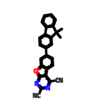 CC1(C)c2ccccc2-c2ccc(-c3ccc4c(c3)oc3nc(C#N)nc(C#N)c34)cc21